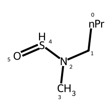 CCCCN(C)[SH]=O